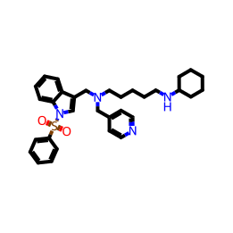 O=S(=O)(c1ccccc1)n1cc(CN(CCCCCNC2CCCCC2)Cc2ccncc2)c2ccccc21